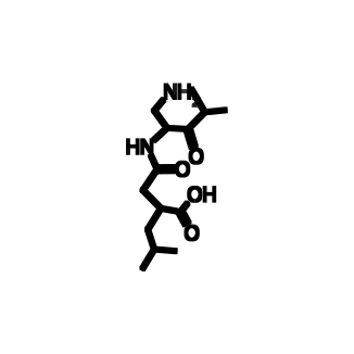 CC(C)CC(CC(=O)NC(CN)C(=O)C(C)C)C(=O)O